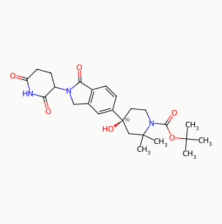 CC(C)(C)OC(=O)N1CC[C@@](O)(c2ccc3c(c2)CN(C2CCC(=O)NC2=O)C3=O)CC1(C)C